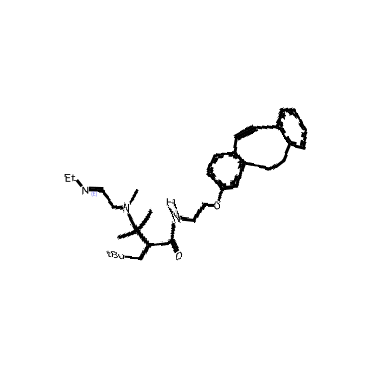 CC/N=C/CN(C)C(C)(C)C(CC(C)(C)C)C(=O)NCCOc1ccc2c(c1)CCc1ccccc1C#C2